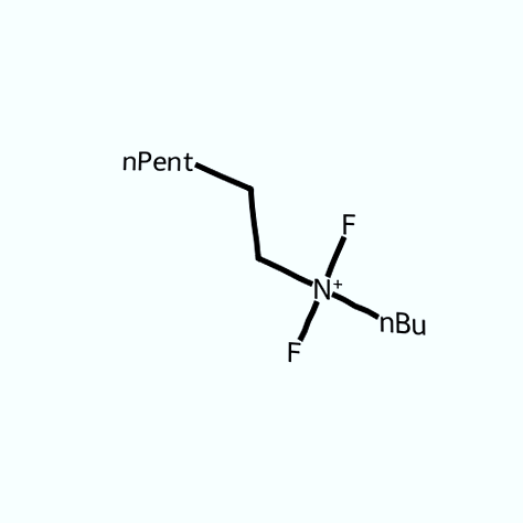 CCCCCCC[N+](F)(F)CCCC